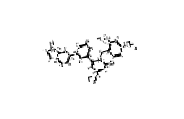 Cc1ccc(Cn2c(-c3cccc(-c4ccc5cc[nH]c5c4)c3)cc(C(F)(F)F)cc2=O)c(C)c1